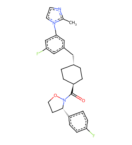 Cc1nccn1-c1cc(F)cc(C[C@H]2CC[C@H](C(=O)N3OCC[C@H]3c3ccc(F)cc3)CC2)c1